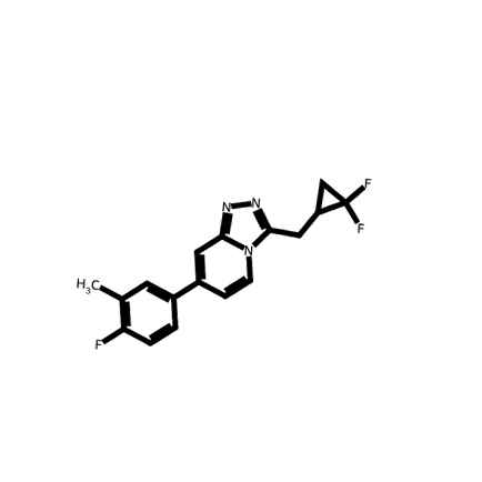 Cc1cc(-c2ccn3c(CC4CC4(F)F)nnc3c2)ccc1F